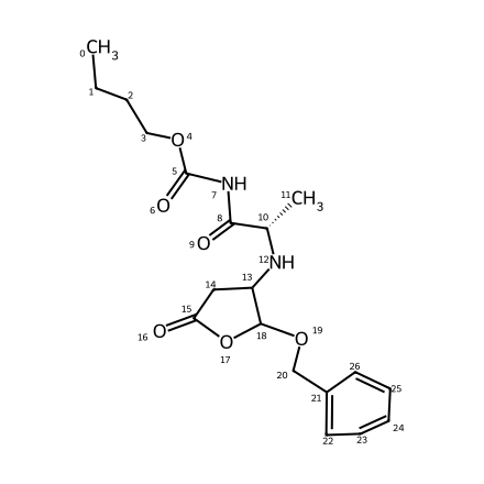 CCCCOC(=O)NC(=O)[C@H](C)NC1CC(=O)OC1OCc1ccccc1